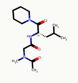 CC(=O)N(C)CC(=O)N[C@@H](CC(C)C)C(=O)N1CCCCC1